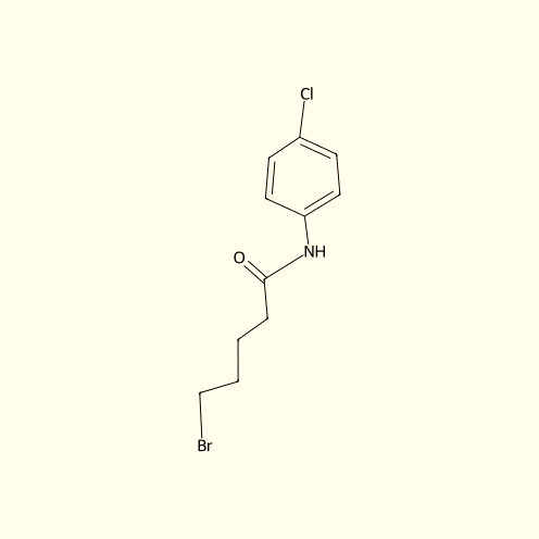 O=C(CCCCBr)Nc1ccc(Cl)cc1